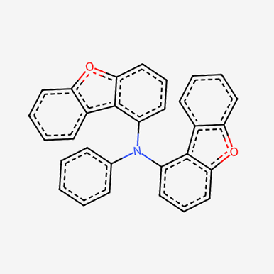 c1ccc(N(c2cccc3oc4ccccc4c23)c2cccc3oc4ccccc4c23)cc1